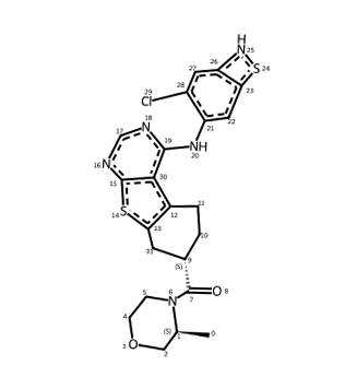 C[C@H]1COCCN1C(=O)[C@H]1CCc2c(sc3ncnc(Nc4cc5s[nH]c5cc4Cl)c23)C1